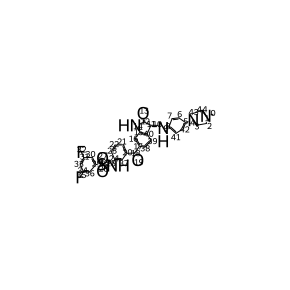 CN1CCN(c2ccc(N/C=C3/C(=O)Nc4cc(C(=O)c5cccc(NS(=O)(=O)c6cc(F)cc(F)c6)c5)ccc43)cc2)CC1